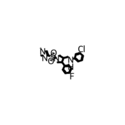 Cn1cnc(S(=O)(=O)N2CC(CNc3cccc(Cl)c3)C(c3ccc(F)cc3)C2)c1